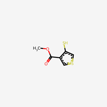 COC(=O)c1cscc1S